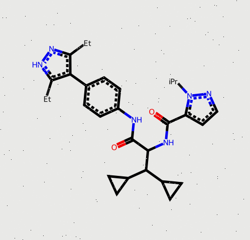 CCc1n[nH]c(CC)c1-c1ccc(NC(=O)C(NC(=O)c2ccnn2C(C)C)C(C2CC2)C2CC2)cc1